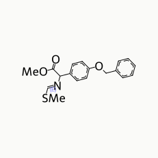 COC(=O)C(/N=C/SC)c1ccc(OCc2ccccc2)cc1